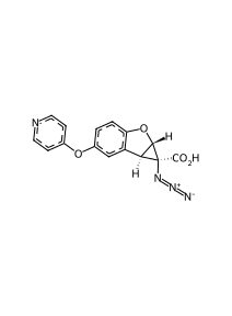 [N-]=[N+]=N[C@]1(C(=O)O)[C@H]2Oc3ccc(Oc4ccncc4)cc3[C@@H]21